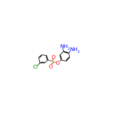 Nc1ccc(OS(=O)(=O)c2cccc(Cl)c2)cc1N